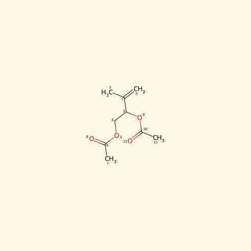 C=C(C)C(COC(C)=O)OC(C)=O